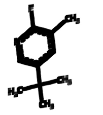 Cc1cc(C(C)(C)C)cnc1F